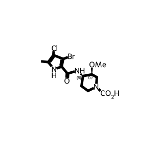 CO[C@H]1CN(C(=O)O)CC[C@H]1NC(=O)c1[nH]c(C)c(Cl)c1Br